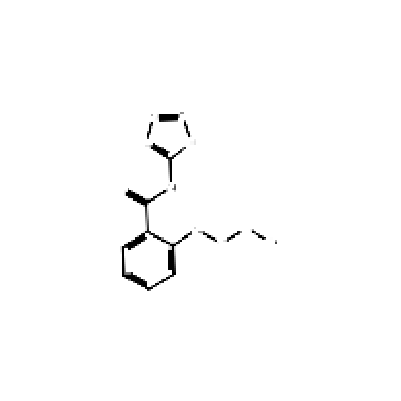 O=C(Nc1nnn[nH]1)c1ccccc1SOOO